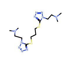 CN(C)CCn1nnnc1SCCCSc1nnnn1CCN(C)C